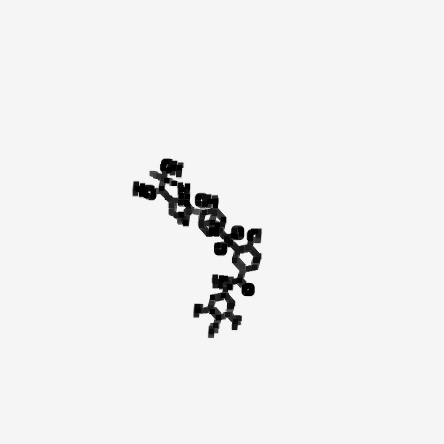 CC(C)(O)C(O)c1cnc([C@]2(O)C3CC(S(=O)(=O)c4cc(C(=O)Nc5cc(F)c(F)c(F)c5)ccc4Cl)CC2[C@@H]3C)[nH]1